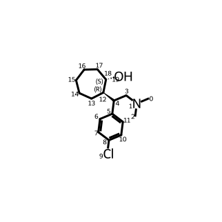 CN(C)CC(c1ccc(Cl)cc1)[C@H]1CCCCC[C@@H]1O